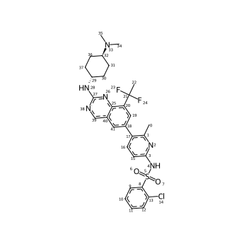 Cc1nc(NS(=O)(=O)c2ccccc2Cl)ccc1-c1cc(C(C)(F)F)c2nc(N[C@H]3CC[C@H](N(C)C)CC3)ncc2c1